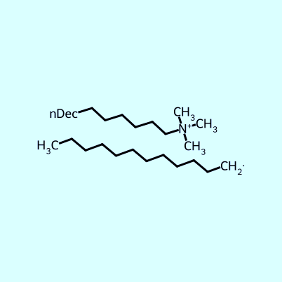 CCCCCCCCCCCCCCCC[N+](C)(C)C.[CH2]CCCCCCCCCCC